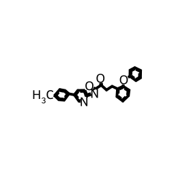 Cc1ccc(-c2cnc3nc(C(=O)CCc4ccccc4Oc4ccccc4)oc3c2)cc1